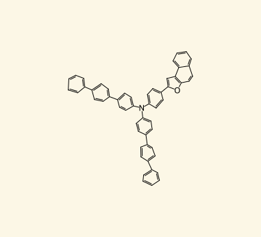 c1ccc(-c2ccc(-c3ccc(N(c4ccc(-c5ccc(-c6ccccc6)cc5)cc4)c4ccc(-c5cc6c(ccc7ccccc76)o5)cc4)cc3)cc2)cc1